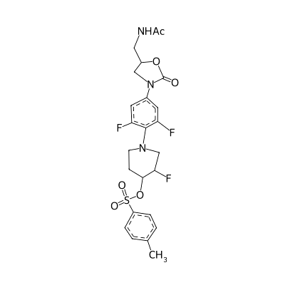 CC(=O)NCC1CN(c2cc(F)c(N3CCC(OS(=O)(=O)c4ccc(C)cc4)C(F)C3)c(F)c2)C(=O)O1